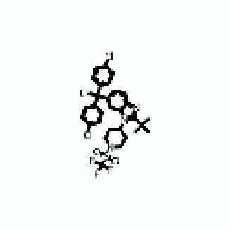 CC(C)(C)c1nc2ccc(C(Cl)(c3ccc(Cl)cc3)c3ccc(Cl)cc3)cc2n1C1CCN(S(=O)(=O)C(F)(F)F)CC1